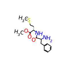 COC(=O)[C@H](CCSC)NC(=O)[C@@H](N)Cc1ccccc1